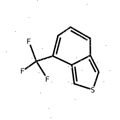 FC(F)(F)c1cccc2cs[c]c12